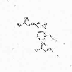 C1CO1.C1CO1.C=CC(=C)C.C=CC(=C)C.C=Cc1ccccc1